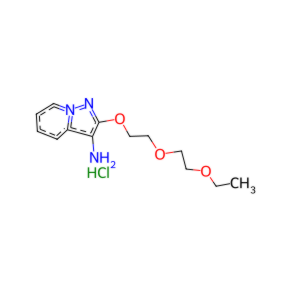 CCOCCOCCOc1nn2ccccc2c1N.Cl